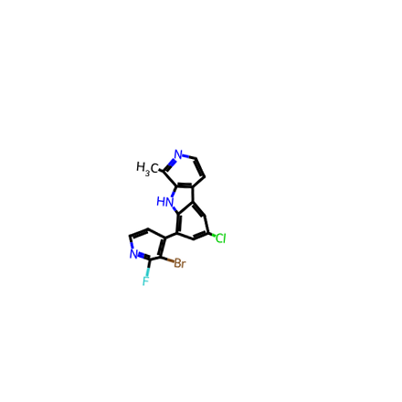 Cc1nccc2c1[nH]c1c(-c3ccnc(F)c3Br)cc(Cl)cc12